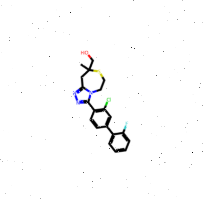 CC1(CO)Cc2nnc(-c3ccc(-c4ccccc4F)cc3Cl)n2CCS1